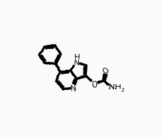 NC(=O)Oc1c[nH]c2c(-c3ccccc3)ccnc12